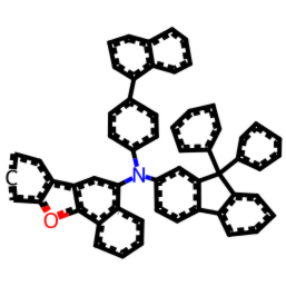 c1ccc(C2(c3ccccc3)c3ccccc3-c3ccc(N(c4ccc(-c5cccc6ccccc56)cc4)c4cc5c6ccccc6oc5c5ccccc45)cc32)cc1